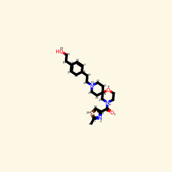 Cc1nc(C(=O)N2CCOC3(CCN(CCC4C=CC(CCO)=CC4)CC3)C2)cs1